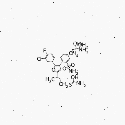 C.C=CC(C)c1cc(-c2ccccc2S(N)(=O)=O)c(-c2ccc(F)c(Cl)c2)o1.NC(O)=S.NC(O)=S.O